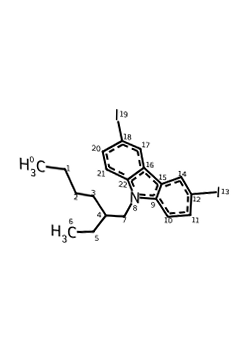 CCCCC(CC)Cn1c2ccc(I)cc2c2cc(I)ccc21